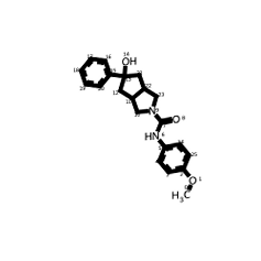 COc1ccc(NC(=O)N2CC3CC(O)(c4ccccc4)CC3C2)cc1